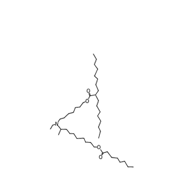 CCCCCCCCC(CCCCCCCC)C(=O)OCCCCCCCN(CC)C(C)CCCCCCCCOC(=O)CCCCCCC